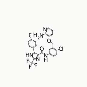 Nc1ncccc1OCc1cc(NC(=O)c2nc(C(F)(F)F)[nH]c2-c2ccc(F)cc2)ccc1Cl